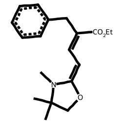 CCOC(=O)C(=CC=C1OCC(C)(C)N1C)Cc1ccccc1